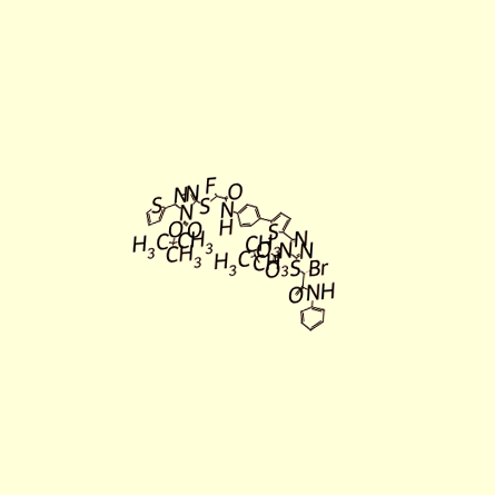 CC(C)(C)OC(=O)n1c(SC(F)C(=O)Nc2ccc(-c3ccc(-c4nnc(S[C@H](Br)C(=O)Nc5ccccc5)n4C(=O)OC(C)(C)C)s3)cc2)nnc1-c1cccs1